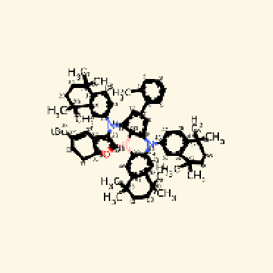 Cc1ccccc1-c1cc2c3c(c1)N(c1ccc4c(c1)C(C)(C)CCC4(C)C)c1c(oc4c1C=C(C(C)(C)C)CC4)B3c1cc3c(cc1N2c1ccc2c(c1)C(C)(C)CCC2(C)C)C(C)(C)CCC3(C)C